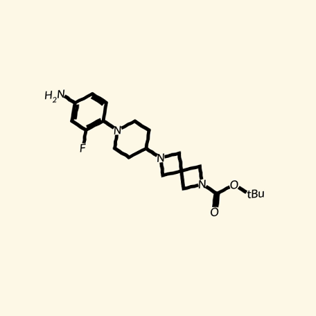 CC(C)(C)OC(=O)N1CC2(C1)CN(C1CCN(c3ccc(N)cc3F)CC1)C2